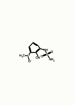 C[S+]([O-])c1cccc(NS(N)(=O)=O)c1C#N